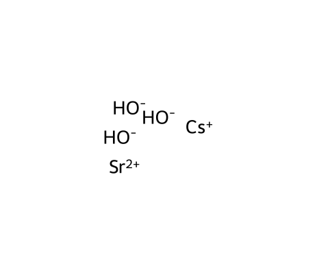 [Cs+].[OH-].[OH-].[OH-].[Sr+2]